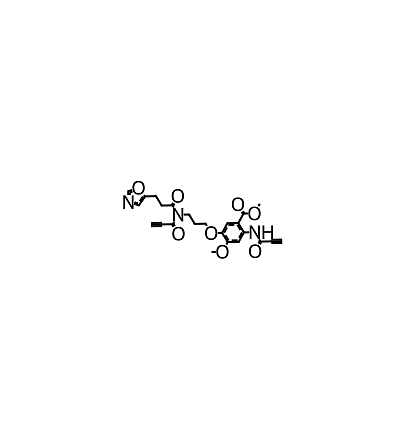 C#CC(=O)Nc1cc(OC)c(OCCCN(C(=O)C#C)C(=O)CCc2cnco2)cc1C(=O)OC